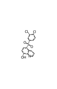 O=S(=O)(c1ccc(Cl)c(Cl)c1)c1ccc(O)c2ncccc12